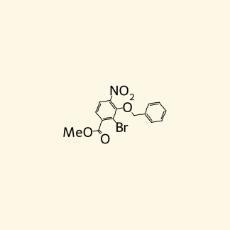 COC(=O)c1ccc([N+](=O)[O-])c(OCc2ccccc2)c1Br